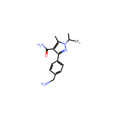 Cc1c(C(N)=O)c(-c2ccc(CN)cc2)nn1C(C)C(F)(F)F